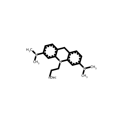 CCCCCCCCCCCCN1c2cc(N(C)C)ccc2Cc2ccc(N(C)C)cc21